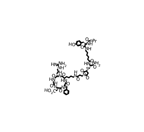 CCCC(=O)N[C@@H](Cc1ccc(O)cc1)C(=O)NCCCCCC(=O)N[C@@H](CSC1CC(=O)N(CCC(=O)NCCCCC2NC(=O)[C@@H](Cc3ccccc3)NC(=O)[C@@H](CC(=O)O)NC(=O)CNC(=O)[C@H](CCCNC(=N)N)NC2=O)C1=O)C(N)=O